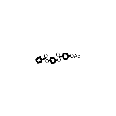 CC(=O)Oc1ccc(C(=O)Oc2ccc(OC(=O)c3ccccc3)cc2)cc1